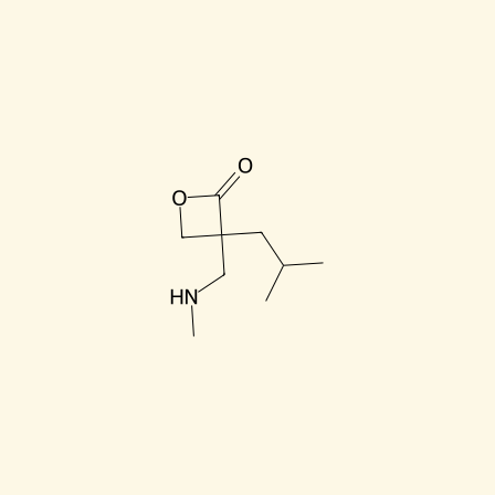 CNCC1(CC(C)C)COC1=O